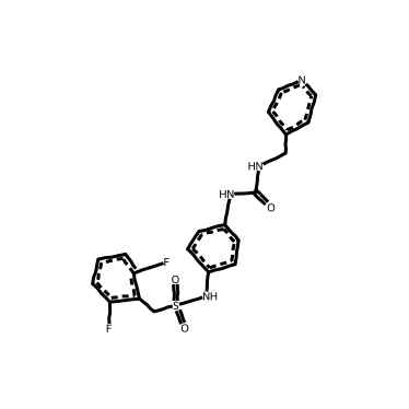 O=C(NCc1ccncc1)Nc1ccc(NS(=O)(=O)Cc2c(F)cccc2F)cc1